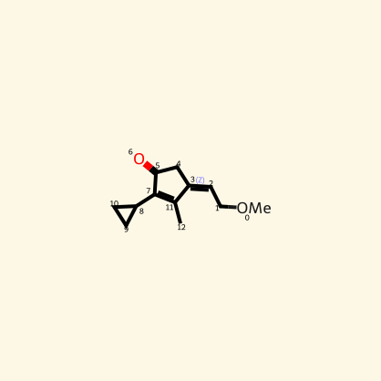 COC/C=C1/CC(=O)C(C2CC2)=C1C